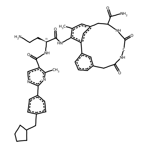 Cc1cc2cc(c1NC(=O)[C@H](CCN)NC(=O)c1cnc(-c3ccc(CC4CCCC4)cc3)nc1C)-c1cccc(c1)CC(=O)NCC(=O)NC(C(N)=O)C2